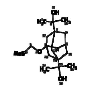 CSCOC12CC3CC(C(C)(C)O)(C1)CC(C(C)(C)O)(C3)C2